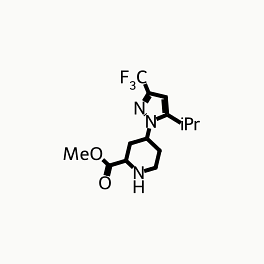 COC(=O)C1CC(n2nc(C(F)(F)F)cc2C(C)C)CCN1